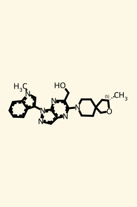 C[C@H]1CC2(CCN(c3nc4cnn(-c5cn(C)c6ccccc56)c4nc3CO)CC2)CO1